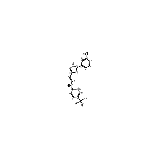 FC(F)(F)c1ccc(NN=Cc2noc(-c3cccc(Cl)n3)n2)nc1